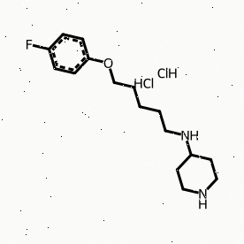 Cl.Cl.Fc1ccc(OCCCCCNC2CCNCC2)cc1